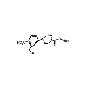 CC(C)(C)OC(=O)N1CCCN(c2ccc(C(=O)O)c(CO)c2)CC1